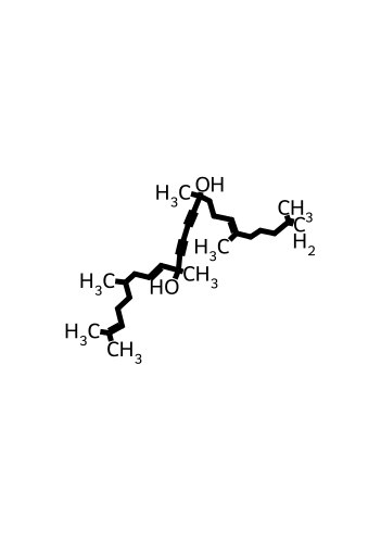 C=C(C)CCCC(C)=CCCC(C)(O)C#CC#CC(C)(O)C=CCC(C)CCC=C(C)C